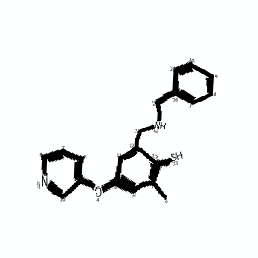 Cc1cc(Oc2cccnc2)cc(CNCc2ccccc2)c1S